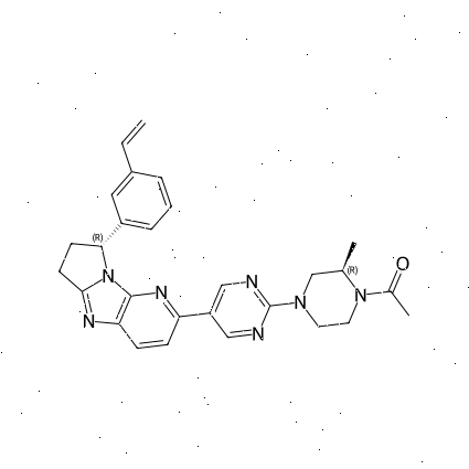 C=Cc1cccc([C@H]2CCc3nc4ccc(-c5cnc(N6CCN(C(C)=O)[C@H](C)C6)nc5)nc4n32)c1